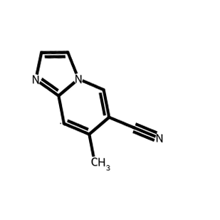 Cc1[c]c2nccn2cc1C#N